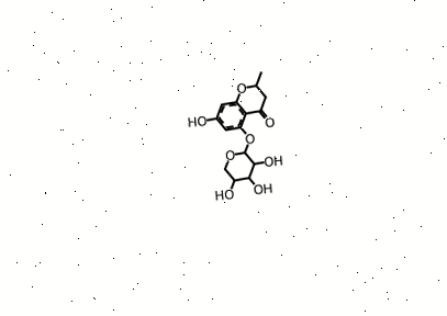 CC1CC(=O)c2c(cc(O)cc2OC2OCC(O)C(O)C2O)O1